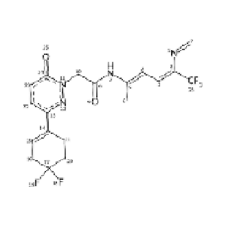 C=N/C(=C\C=C(/C)NC(=O)Cn1nc(C2=CCC(F)(F)CC2)ccc1=O)C(F)(F)F